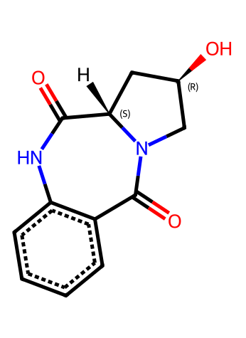 O=C1Nc2ccccc2C(=O)N2C[C@H](O)C[C@@H]12